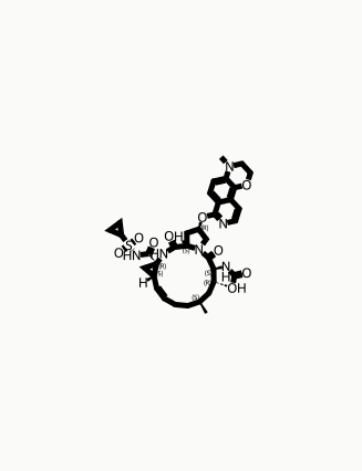 C[C@H]1CCC=C[C@@H]2C[C@@]2(C(=O)NS(=O)(=O)C2CC2)NC(=O)[C@@H]2C[C@@H](Oc3nccc4c5c(ccc34)N(C)CCO5)CN2C(=O)[C@@H](NC(=O)O)[C@H](C)C1